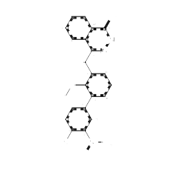 COc1c(Cc2n[nH]c(=O)c3ccccc23)cccc1-c1ccc(N)c([N+](=O)[O-])c1